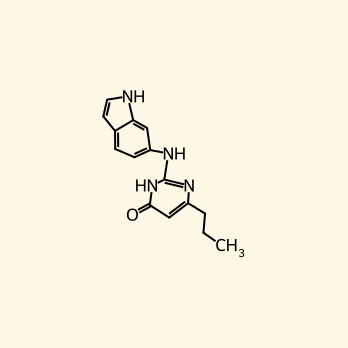 CCCc1cc(=O)[nH]c(Nc2ccc3cc[nH]c3c2)n1